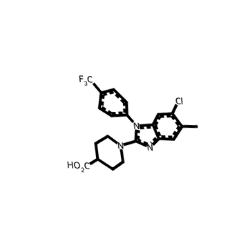 Cc1cc2nc(N3CCC(C(=O)O)CC3)n(-c3ccc(C(F)(F)F)cc3)c2cc1Cl